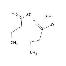 CCCC(=O)[O-].CCCC(=O)[O-].[Se+2]